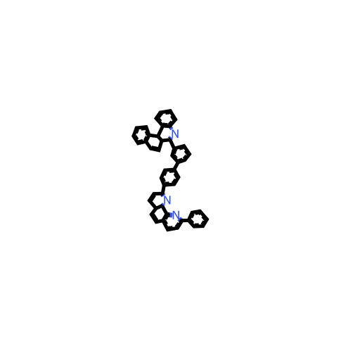 C1=CC2C=Cc3ccc(-c4ccccc4)nc3C2N=C1c1ccc(-c2cccc(C3=Nc4ccccc4C4c5ccccc5C=CC34)c2)cc1